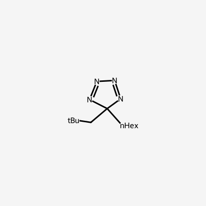 CCCCCCC1(CC(C)(C)C)N=NN=N1